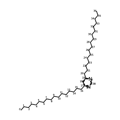 CCCCCCCCCCCCCCCCCc1cc(CCCCCCCCCCCCCCCCC)n[c]n1